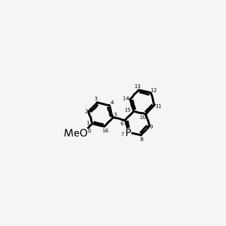 COc1cccc(-c2pccc3ccccc23)c1